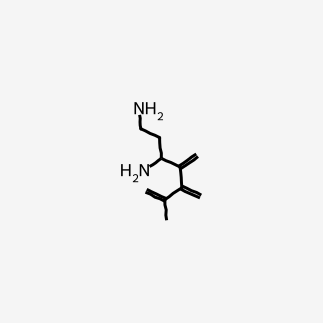 C=C(C)C(=C)C(=C)C(N)CCN